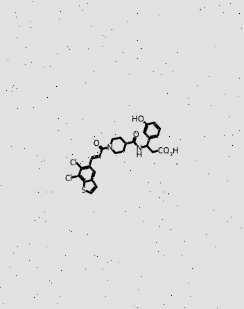 O=C(O)CC(NC(=O)C1CCN(C(=O)C=Cc2cc3ccsc3c(Cl)c2Cl)CC1)c1cccc(O)c1